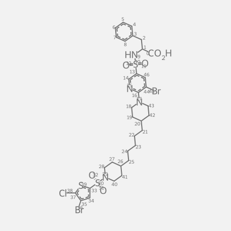 O=C(O)C(Cc1ccccc1)NS(=O)(=O)c1cnc(N2CCC(CCCCCC3CCN(S(=O)(=O)c4cc(Br)c(Cl)s4)CC3)CC2)c(Br)c1